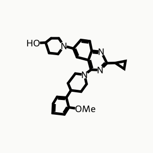 COc1ccccc1C1CCN(c2nc(C3CC3)nc3ccc(N4CCC(O)CC4)cc23)CC1